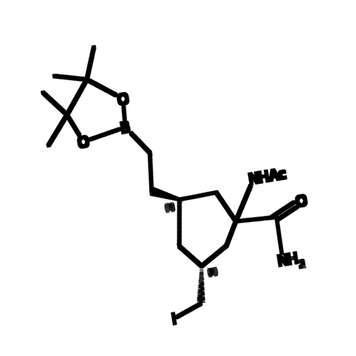 CC(=O)NC1(C(N)=O)C[C@H](CI)C[C@@H](CCB2OC(C)(C)C(C)(C)O2)C1